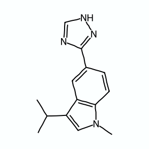 CC(C)c1cn(C)c2ccc(-c3nc[nH]n3)cc12